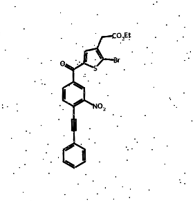 CCOC(=O)Cc1cc(C(=O)c2ccc(C#Cc3ccccc3)c([N+](=O)[O-])c2)sc1Br